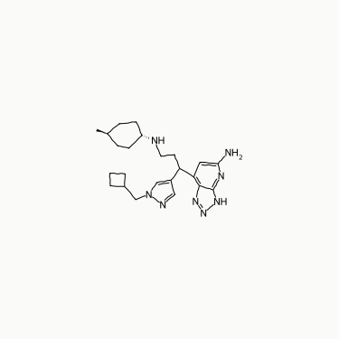 C[C@H]1CC[C@H](NCCC(c2cnn(CC3CCC3)c2)c2cc(N)nc3[nH]nnc23)CC1